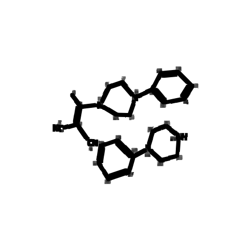 CC(=C(C#N)C#N)N1CCN(c2ccccc2)CC1.c1ccc(N2CCNCC2)cc1